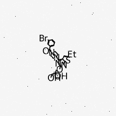 CCc1cc2c(N3CCN(C(=O)c4cccc(Br)c4)CC3)nc(OC[C@H](O)CO)nc2s1